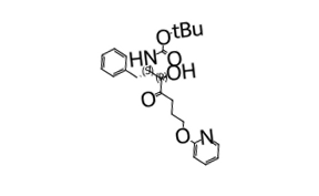 CC(C)(C)OC(=O)N[C@@H](Cc1ccccc1)[C@@H](O)C(=O)CCCOc1ccccn1